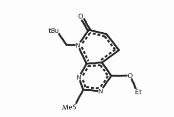 CCOc1nc(SC)nc2c1ccc(=O)n2CC(C)(C)C